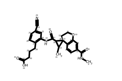 CNC(=O)c1ccc2c(c1)OCC[C@]21C(C)C1C(=O)Nc1cc(C#N)ccc1CCCC(=O)O